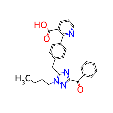 CCCCn1nc(C(=O)c2ccccc2)nc1Cc1ccc(-c2ncccc2C(=O)O)cc1